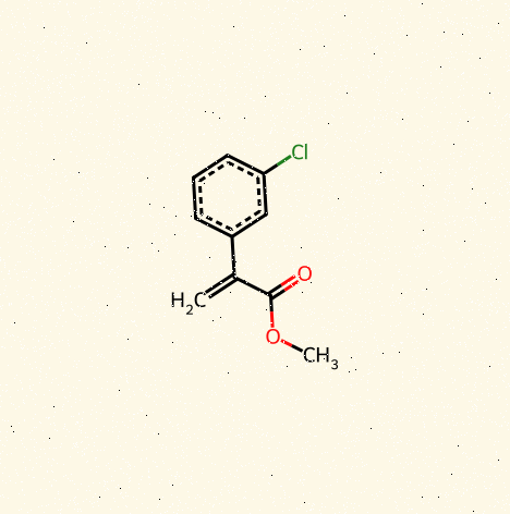 C=C(C(=O)OC)c1cccc(Cl)c1